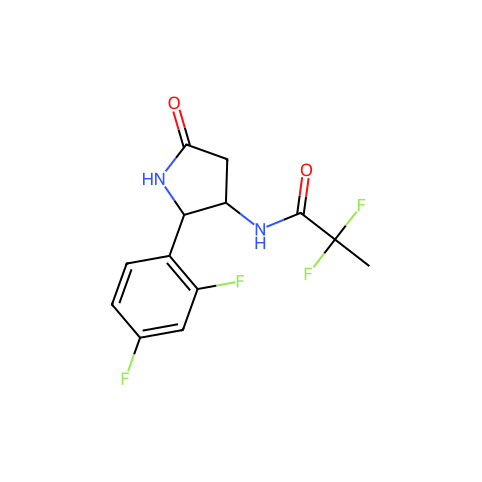 CC(F)(F)C(=O)NC1CC(=O)NC1c1ccc(F)cc1F